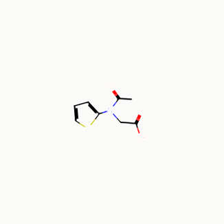 CC(=O)N(CC(=O)O)c1cccs1